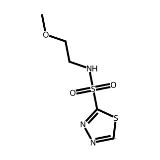 COCCNS(=O)(=O)c1nn[c]s1